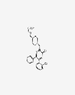 O=C(O)COC[C@H]1CC[C@@H](Cn2nc(-c3ccccc3)c(-c3ccccc3Cl)cc2=O)CC1